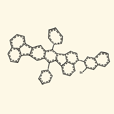 Brc1cc2ccccc2cc1-c1ccc2c3c(-c4ccccc4)c4cc5c(cc4c(-c4ccccc4)c3c3cccc1c32)c1cccc2cccc5c21